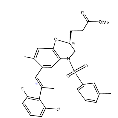 COC(=O)CC[C@H]1CN(S(=O)(=O)c2cccc(C)c2)c2cc(/C=C(\C)c3c(F)cccc3Cl)c(C)cc2O1